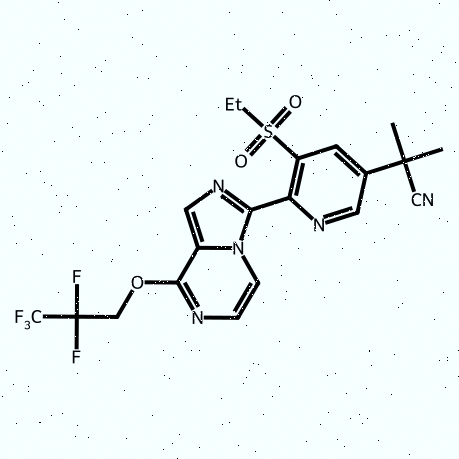 CCS(=O)(=O)c1cc(C(C)(C)C#N)cnc1-c1ncc2c(OCC(F)(F)C(F)(F)F)nccn12